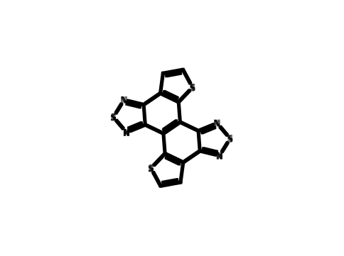 c1cc2c3nsnc3c3c4sccc4c4nsnc4c3c2s1